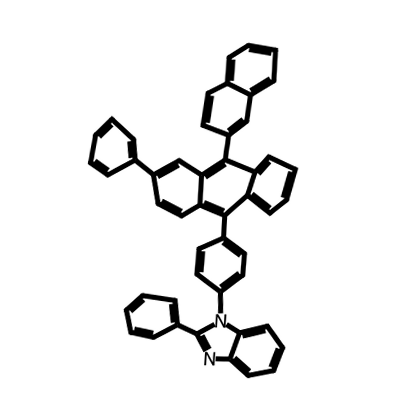 c1ccc(-c2ccc3c(-c4ccc(-n5c(-c6ccccc6)nc6ccccc65)cc4)c4ccccc4c(-c4ccc5ccccc5c4)c3c2)cc1